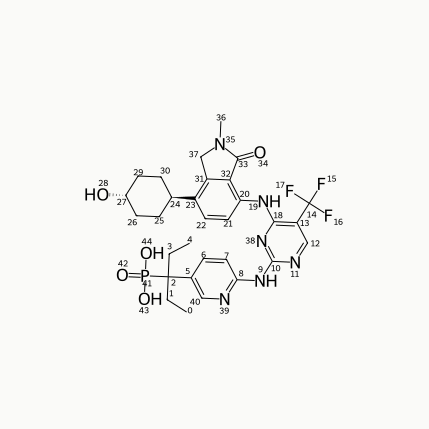 CCC(CC)(c1ccc(Nc2ncc(C(F)(F)F)c(Nc3ccc([C@H]4CC[C@H](O)CC4)c4c3C(=O)N(C)C4)n2)nc1)P(=O)(O)O